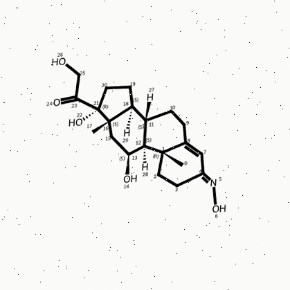 C[C@]12CCC(=NO)C=C1CC[C@@H]1[C@@H]2[C@@H](O)C[C@@]2(C)[C@H]1CC[C@]2(O)C(=O)CO